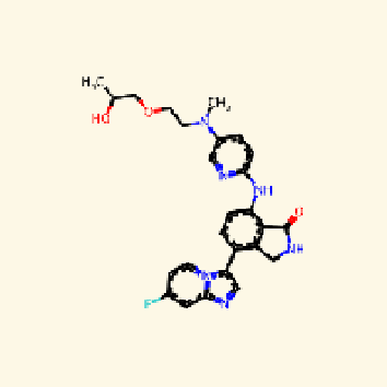 C[C@H](O)COCCN(C)c1ccc(Nc2ccc(-c3cnc4cc(F)ccn34)c3c2C(=O)NC3)nc1